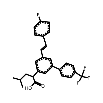 CC(C)CC(C(=O)O)c1cc(/C=C/c2ccc(F)cc2)cc(-c2ccc(C(F)(F)F)cc2)c1